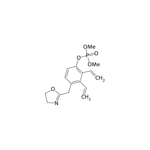 C=Cc1c(CC2=NCCO2)ccc(OP(=O)(OC)OC)c1C=C